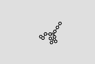 c1ccc(-c2ccc(-c3ccc(N(c4ccc(-c5cccc(-c6cccc7ccccc67)c5)cc4)c4ccc5c(c4)C(c4ccccc4)(c4ccccc4)c4ccccc4-5)cc3)cc2)cc1